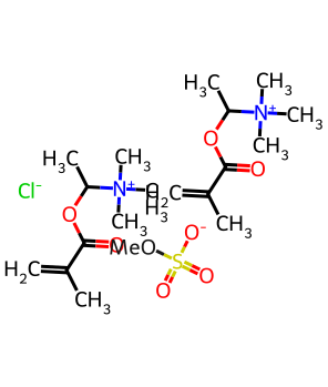 C=C(C)C(=O)OC(C)[N+](C)(C)C.C=C(C)C(=O)OC(C)[N+](C)(C)C.COS(=O)(=O)[O-].[Cl-]